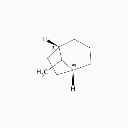 CC1[C@@H]2CCC[C@H]1CC2